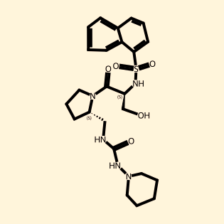 O=C(NC[C@@H]1CCCN1C(=O)[C@H](CO)NS(=O)(=O)c1cccc2ccccc12)NN1CCCCC1